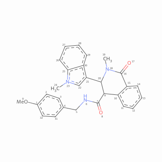 COc1ccc(CNC(=O)C2c3ccccc3C(=O)N(C)C2c2cn(C)c3ccccc23)cc1